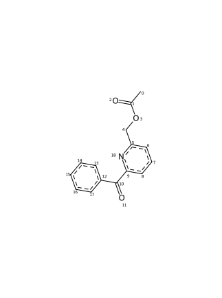 CC(=O)OCc1cccc(C(=O)c2ccccc2)n1